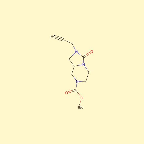 C#CCN1CC2CN(C(=O)OC(C)(C)C)CCN2C1=O